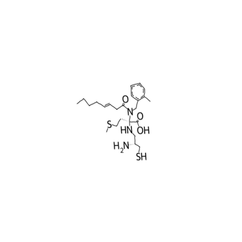 CCCC/C=C/CC(=O)N(Cc1ccccc1C)[C@](CCSC)(NC[C@@H](N)CS)C(=O)O